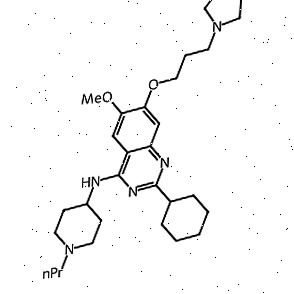 CCCN1CCC(Nc2nc(C3CCCCC3)nc3cc(OCCCN4CCCC4)c(OC)cc23)CC1